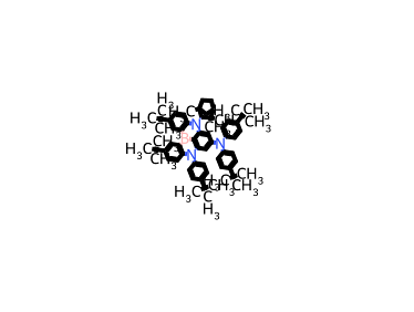 CC(C)(C)c1ccc(N(c2ccc(C(C)(C)C)cc2)c2cc3c4c(c2)N(C2C5(C)CCC(C5)C2(C)C)c2ccc(C(C)(C)C)cc2B4c2cc(C(C)(C)C)ccc2N3c2ccc(C(C)(C)C)cc2)cc1